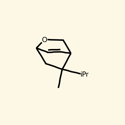 CC(C)C1(C)CC2C=CC1CO2